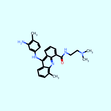 Cc1ccc(Nc2c3cccc(C)c3nc3c(C(=O)NCCN(C)C)cccc23)cc1N